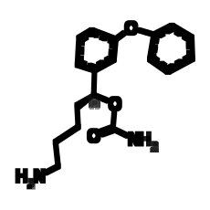 NCCCC[C@H](OC(N)=O)c1cccc(Oc2ccccc2)c1